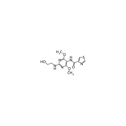 COc1nc(NCCO)nc(OC)c1NC(=O)c1cscn1